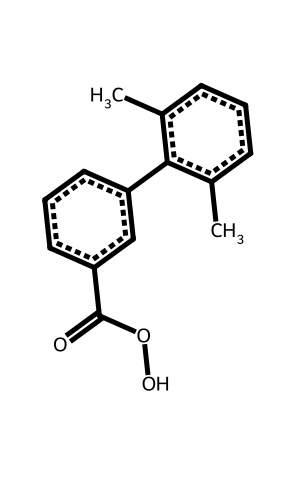 Cc1cccc(C)c1-c1cccc(C(=O)OO)c1